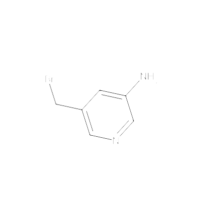 Nc1cncc(CBr)c1